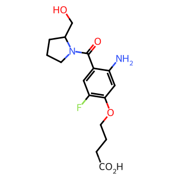 Nc1cc(OCCCC(=O)O)c(F)cc1C(=O)N1CCCC1CO